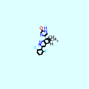 CC1(C)[C@H]2CC[C@]1(c1c[nH]c(=O)cn1)c1nnc(-c3c(F)cccc3F)cc12